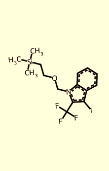 C[Si](C)(C)CCOCn1c(C(F)(F)F)c(I)c2ccccc21